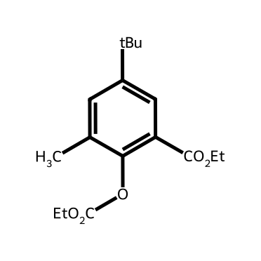 CCOC(=O)Oc1c(C)cc(C(C)(C)C)cc1C(=O)OCC